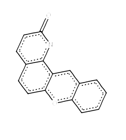 O=c1ccc2ccc3oc4ccccc4cc3c2n1